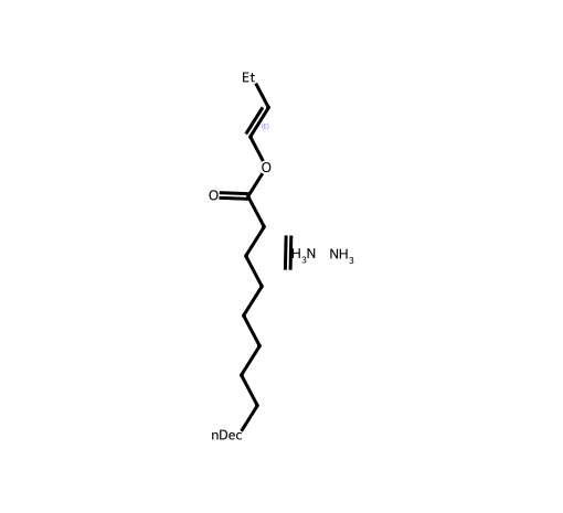 C=C.CC/C=C/OC(=O)CCCCCCCCCCCCCCCCC.N.N